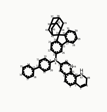 C1=Cc2ccc3cc(N(c4ccc(-c5ccccc5)cc4)c4ccc5c(c4)-c4ccccc4C54C5CC6CC(C5)CC4C6)cnc3c2NC1